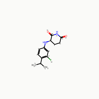 CC(C)c1ccc(N[C@@H]2CCC(=O)NC2=O)cc1F